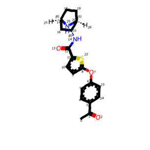 CC(=O)c1ccc(Oc2ccc(C(=O)N[C@@H]3C[C@H]4CC[C@@H]3N4)s2)cc1